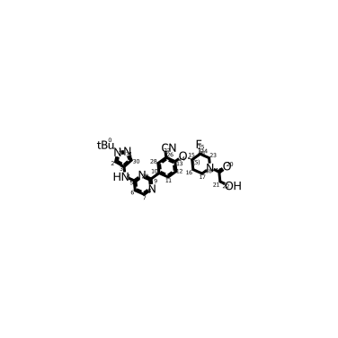 CC(C)(C)n1cc(Nc2ccnc(-c3ccc(O[C@H]4CCN(C(=O)CO)C[C@H]4F)c(C#N)c3)n2)cn1